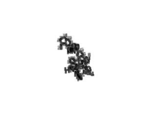 CCCCN(CCCC)C(=O)c1cn(C)c(-c2ccc(C(=O)NS(=O)(=O)c3ccc4cccc(I)c4c3)cc2C(=O)c2cccc3c2CC(CN=[N+]=[N-])NC3)n1